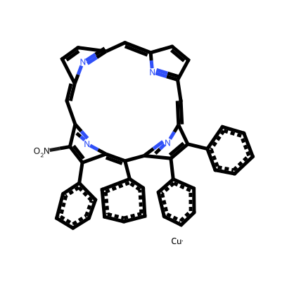 O=[N+]([O-])C1=C(c2ccccc2)C2=C(c3ccccc3)C3=NC(=CC4=NC(=CC5=NC(=CC1=N2)C=C5)C=C4)C(c1ccccc1)=C3c1ccccc1.[Cu]